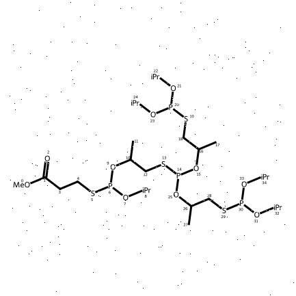 COC(=O)CCSP(OC(C)C)OC(C)CSP(OC(C)CSP(OC(C)C)OC(C)C)OC(C)CSP(OC(C)C)OC(C)C